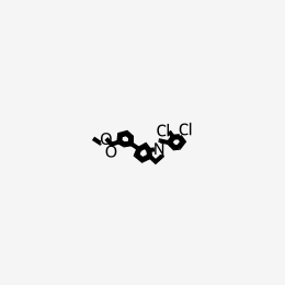 CCOC(=O)c1cccc(-c2ccc3c(c2)N(Cc2cccc(Cl)c2Cl)CC3)c1